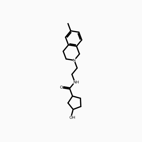 Cc1ccc2c(c1)CCN(CCNC(=O)C1CCC(O)C1)C2